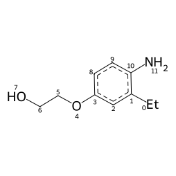 CCc1cc(OCCO)ccc1N